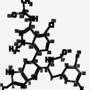 Cc1nc2nc(C(Cc3cc(F)cc(F)c3)NC=O)c(-c3ccc(Cl)c4c(N[S+](C)[O-])nn(C)c34)cc2[nH]1